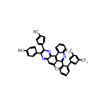 N#Cc1ccc(-c2nc3cc(C#N)c4c(-c5ccccc5-c5cc(C(F)(F)F)cc(C(F)(F)F)c5)nc5ccccc5c4c3nc2-c2ccc(C#N)cc2)cc1